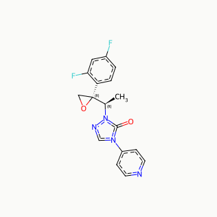 C[C@@H](n1ncn(-c2ccncc2)c1=O)[C@]1(c2ccc(F)cc2F)CO1